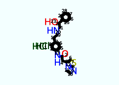 Cl.Cl.O=C(Cc1csc2nccn12)Nc1ccc(CCNC[C@H](O)c2ccccc2)cc1